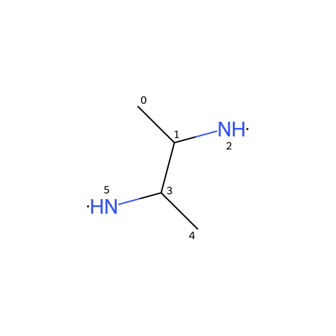 CC([NH])C(C)[NH]